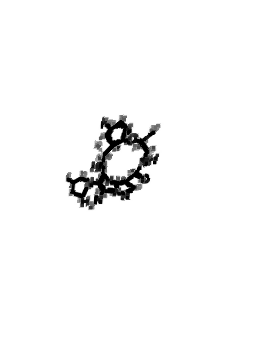 CC1CCN(c2c3nc4c(cnn4c2N)C(=O)NC[C@H](C)Oc2ncc(F)cc2[C@@H](C)N3)C1